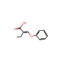 CC/C(=C\Oc1ccccc1)C(=O)O